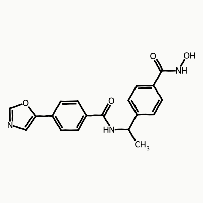 CC(NC(=O)c1ccc(-c2cnco2)cc1)c1ccc(C(=O)NO)cc1